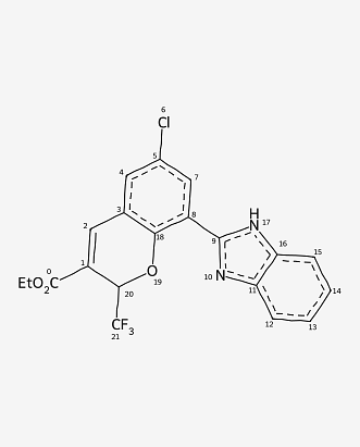 CCOC(=O)C1=Cc2cc(Cl)cc(-c3nc4ccccc4[nH]3)c2OC1C(F)(F)F